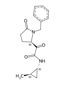 C[C@@H]1C[C@H]1NC(=O)C(=O)[C@H]1CCC(=O)N1Cc1ccccc1